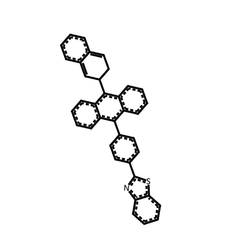 C1=c2ccccc2=CC(c2c3ccccc3c(-c3ccc(-c4nc5ccccc5s4)cc3)c3ccccc23)C1